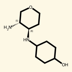 N[C@@H]1COCC[C@H]1NC1CCC(O)CC1